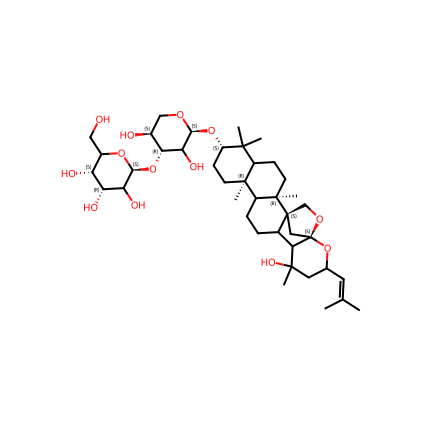 CC(C)=CC1CC(C)(O)C2C3CCC4[C@@]5(C)CC[C@H](O[C@@H]6OC[C@H](O)[C@@H](O[C@@H]7OC(CO)[C@@H](O)[C@@H](O)C7O)C6O)C(C)(C)C5CC[C@@]4(C)[C@@]34CO[C@@]2(C4)O1